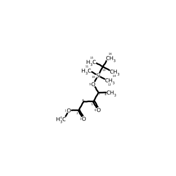 COC(=O)CC(=O)C(C)O[Si](C)(C)C(C)(C)C